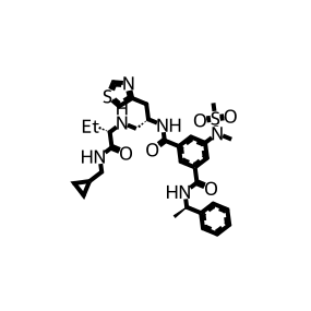 CC[C@H](NC[C@H](Cc1cscn1)NC(=O)c1cc(C(=O)N[C@H](C)c2ccccc2)cc(N(C)S(C)(=O)=O)c1)C(=O)NCC1CC1